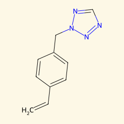 C=Cc1ccc(Cn2ncnn2)cc1